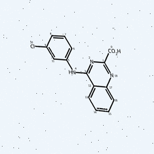 O=C(O)c1nc(Nc2cccc(Cl)c2)c2ccccc2n1